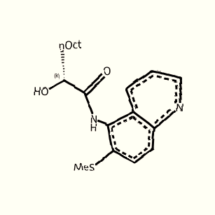 CCCCCCCC[C@@H](O)C(=O)Nc1c(SC)ccc2ncccc12